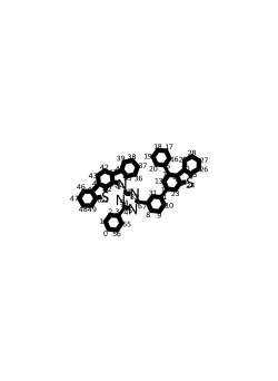 c1ccc(-c2nc(-c3cccc(-c4cc(-c5ccccc5)c5c(c4)sc4ccccc45)c3)nc(-n3c4ccccc4c4ccc5c6ccccc6sc5c43)n2)cc1